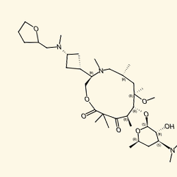 CO[C@]1(C)C[C@@H](C)CN(C)[C@H]([C@H]2C[C@@H](N(C)CC3CCCO3)C2)COC(=O)C(C)(C)C(=O)[C@H](C)[C@H]1O[C@@H]1O[C@H](C)C[C@H](N(C)C)[C@H]1O